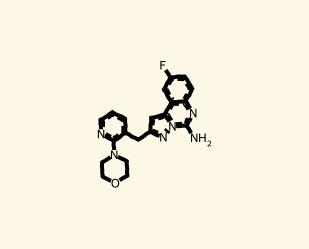 Nc1nc2ccc(F)cc2c2cc(Cc3cccnc3N3CCOCC3)nn12